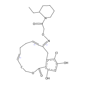 CCC1CCCCN1C(=O)CO/N=C1\C=C\CC/C=C/CCOC(=O)c2c(O)cc(O)c(Cl)c2C1